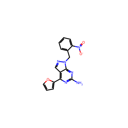 Nc1nc(-c2ccco2)c2cnn(Cc3ccccc3[N+](=O)[O-])c2n1